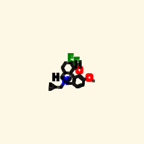 COc1ccc2c3c1O[C@@H]1C(F)(F)CCC4[C@H](C2)N(CC2CC2)CCC341